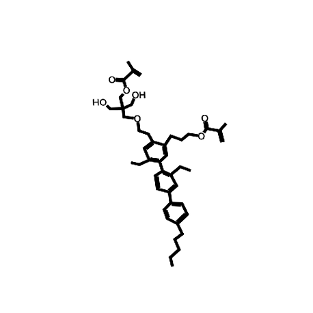 C=C(C)C(=O)OCCCc1cc(-c2ccc(-c3ccc(CCCCC)cc3)cc2CC)c(CC)cc1CCOCC(CO)(CO)COC(=O)C(=C)C